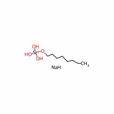 CCCCCCCCO[Si](O)(O)O.[NaH]